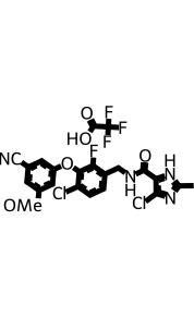 COc1cc(C#N)cc(Oc2c(Cl)ccc(CNC(=O)c3[nH]c(C)nc3Cl)c2F)c1.O=C(O)C(F)(F)F